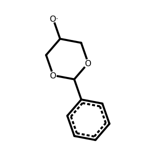 [O]C1COC(c2ccccc2)OC1